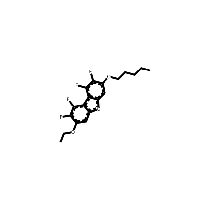 CCCCCOc1cc2oc3cc(OCC)c(F)c(F)c3c2c(F)c1F